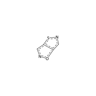 c1nsc2cnoc12